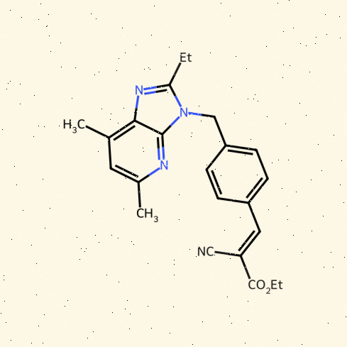 CCOC(=O)C(C#N)=Cc1ccc(Cn2c(CC)nc3c(C)cc(C)nc32)cc1